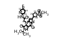 CC(C)N1Cc2c(n(CC(=O)Nc3ccc(F)cn3)c3cc(C4CCN(S(C)(=O)=O)C4)nn3c2=O)C1=O